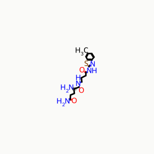 Cc1ccc2nc(NC(=O)CCCNC(=O)[C@@H](N)CCC(N)=O)sc2c1